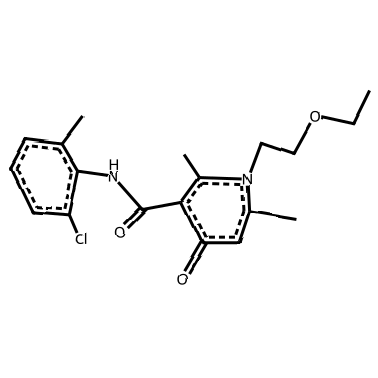 CCOCCn1c(C)cc(=O)c(C(=O)Nc2c(C)cccc2Cl)c1C